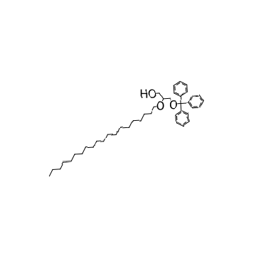 CCCCCCCCCCCCCCCCCCCCOC(CO)COC(c1ccccc1)(c1ccccc1)c1ccccc1